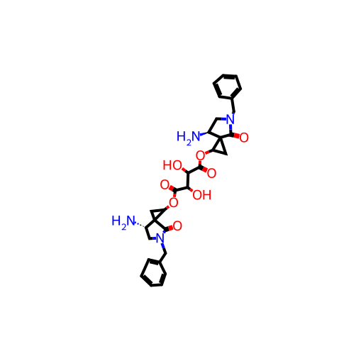 N[C@H]1CN(Cc2ccccc2)C(=O)C12CC2OC(=O)C(O)C(O)C(=O)OC1CC12C(=O)N(Cc1ccccc1)C[C@@H]2N